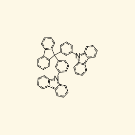 c1cc(-n2c3ccccc3c3ccccc32)cc(C2(c3cccc(-n4c5ccccc5c5ccccc54)c3)c3ccccc3-c3ccccc32)c1